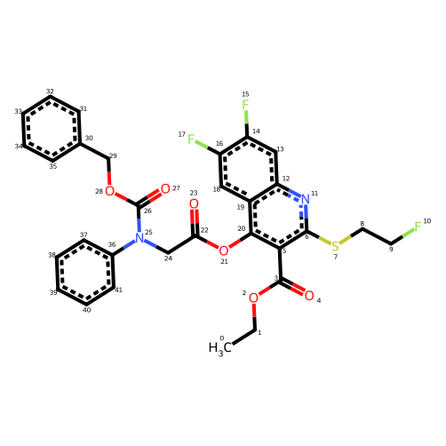 CCOC(=O)c1c(SCCF)nc2cc(F)c(F)cc2c1OC(=O)CN(C(=O)OCc1ccccc1)c1ccccc1